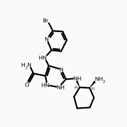 NC(=O)C1=C(Nc2cccc(Br)n2)N=C(N[C@@H]2CCCC[C@@H]2N)NN1